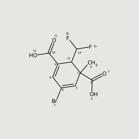 CC1(C(=O)O)C=C(Br)C=C(C(=O)O)C1C(F)F